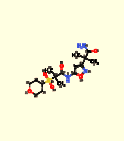 CC(C)(C(N)=O)c1cc(NC(=O)C(C)(C)S(=O)(=O)C2CCOCC2)on1